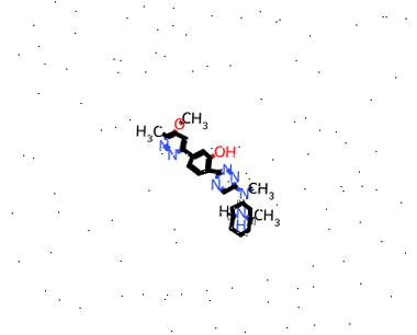 COc1cc(-c2ccc(-c3ncc(N(C)[C@H]4C[C@@H]5CCC[C@](C)(C4)N5)nn3)c(O)c2)nnc1C